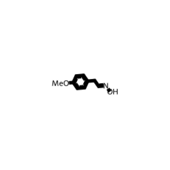 COc1ccc(CC=NO)cc1